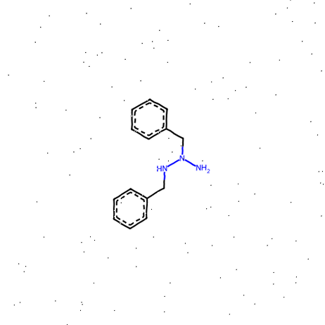 NN(Cc1ccccc1)NCc1ccccc1